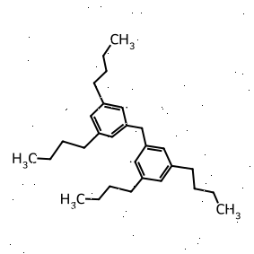 CCCCc1[c]c(Cc2[c]c(CCCC)cc(CCCC)c2)cc(CCCC)c1